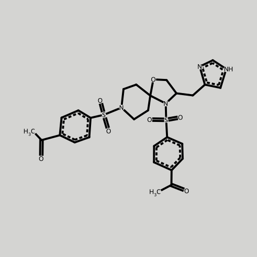 CC(=O)c1ccc(S(=O)(=O)N2CCC3(CC2)OCC(Cc2c[nH]cn2)N3S(=O)(=O)c2ccc(C(C)=O)cc2)cc1